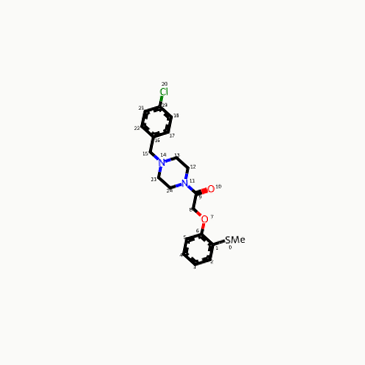 CSc1ccccc1OCC(=O)N1CCN(Cc2ccc(Cl)cc2)CC1